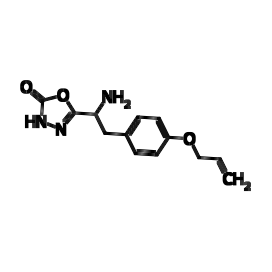 C=CCOc1ccc(CC(N)c2n[nH]c(=O)o2)cc1